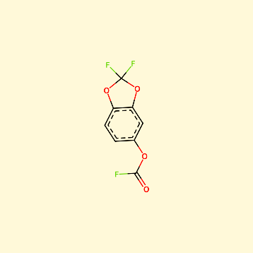 O=C(F)Oc1ccc2c(c1)OC(F)(F)O2